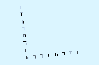 [Ti].[Ti].[Ti].[Ti].[Ti].[Ti].[Ti].[Ti].[Ti].[Ti].[Ti].[Ti].[Ti].[Ti].[Ti]